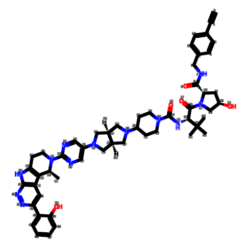 C#Cc1ccc(CNC(=O)[C@@H]2C[C@@H](O)CN2C(=O)[C@@H](NC(=O)N2CCC(N3C[C@H]4CN(c5cnc(N6CCc7[nH]c8nnc(-c9ccccc9O)cc8c7[C@@H]6C)nc5)C[C@H]4C3)CC2)C(C)(C)C)cc1